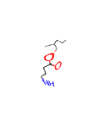 CCCC(C)COC(=O)CCC=N